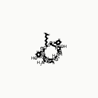 CC(C)CCCCCC1CC(=O)[C@H](Cc2ccccc2)CN2C[C@H](O)C[C@H]2C(=O)N[C@H](C)C(=O)N[C@@H](C(C)C)C(=O)N[C@H](CC(N)=O)C(=O)N[C@@H](Cc2ccc(O)cc2)C(=O)O1